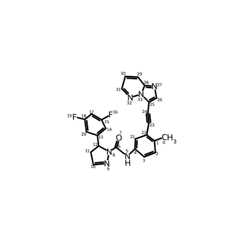 Cc1ccc(NC(=O)N2N=CCC2c2cc(F)cc(F)c2)cc1C#Cc1cnc2cccnn12